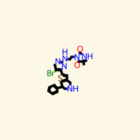 CC1(C)NC(=O)N(CCNc2ncc(Br)c(-c3cc4c(s3)C(c3ccccc3)CNC4)n2)C1=O